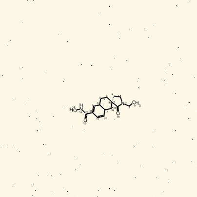 CCN1CC[C@]2(CCC3C=C(C(=O)NO)C=CC3C2)C1=O